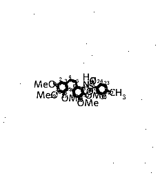 COc1cc(/C=C\c2ccc(OC)c(OC)c2NS(=O)(=O)c2ccc(C)cc2)cc(OC)c1OC